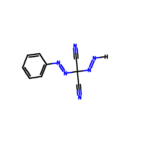 [H]/N=N/C(C#N)(C#N)N=Nc1ccccc1